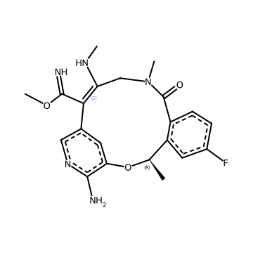 CN/C1=C(\C(=N)OC)c2cnc(N)c(c2)O[C@H](C)c2cc(F)ccc2C(=O)N(C)C1